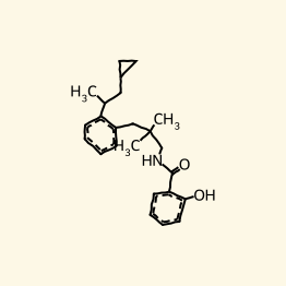 CC(CC1CC1)c1ccccc1CC(C)(C)CNC(=O)c1ccccc1O